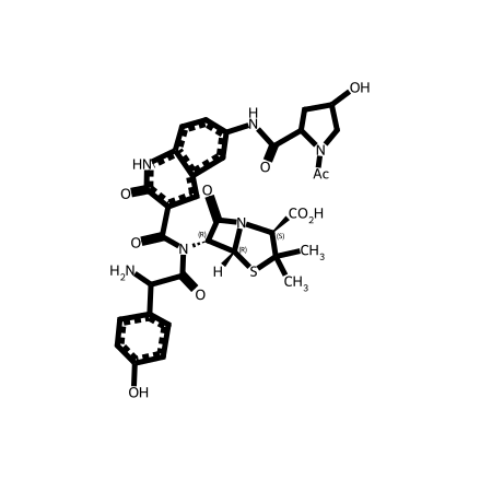 CC(=O)N1CC(O)CC1C(=O)Nc1ccc2[nH]c(=O)c(C(=O)N(C(=O)C(N)c3ccc(O)cc3)[C@@H]3C(=O)N4[C@@H]3SC(C)(C)[C@@H]4C(=O)O)cc2c1